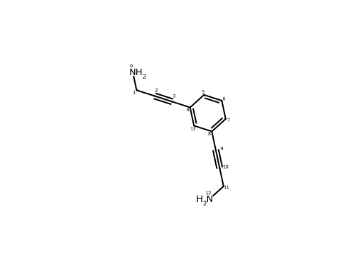 NCC#Cc1cccc(C#CCN)c1